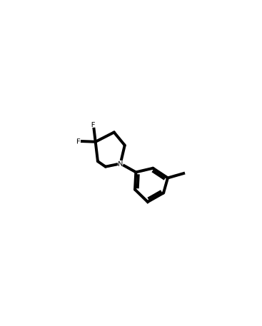 Cc1c[c]cc(N2CCC(F)(F)CC2)c1